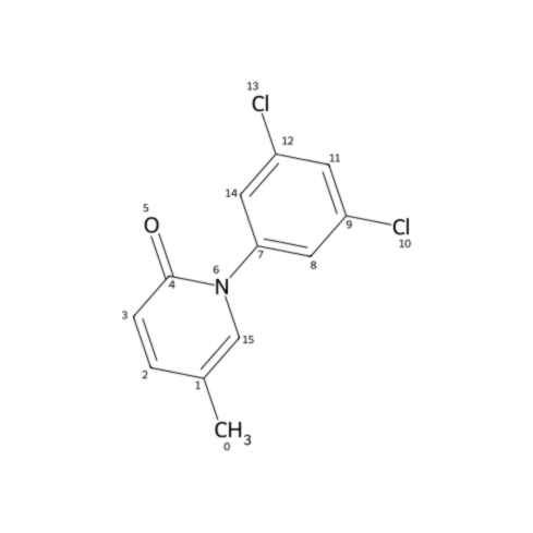 Cc1ccc(=O)n(-c2cc(Cl)cc(Cl)c2)c1